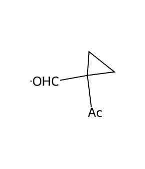 [CH2]C(=O)C1([C]=O)CC1